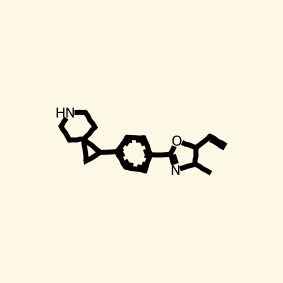 C=CC1OC(c2ccc(C3CC34CCNCC4)cc2)=NC1C